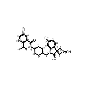 N#CN1CC2(C1)C(=O)N(CC1CCC(NC(=O)c3cc(Cl)cnc3C(F)F)CC1)c1cc(F)ccc12